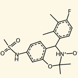 Cc1c(F)ccc(C2c3ccc(NS(C)(=O)=O)cc3OC(C)(C)[NH+]2[O-])c1C